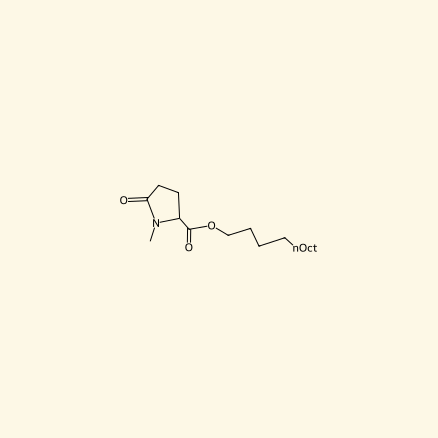 CCCCCCCCCCCCOC(=O)C1CCC(=O)N1C